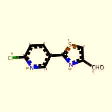 O=Cc1csc(-c2ccc(Cl)nc2)n1